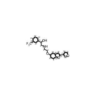 OC(CNCCOc1ccc2oc(-c3ccon3)cc2c1)c1cccc(C(F)(F)F)c1